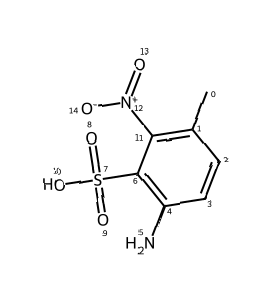 Cc1ccc(N)c(S(=O)(=O)O)c1[N+](=O)[O-]